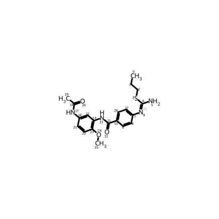 CCCS/C(N)=N\c1ccc(C(=O)Nc2cc(NC(C)=O)ccc2OC)cc1